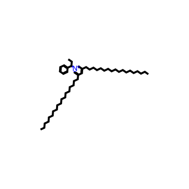 CCCCCCCCCCCCCCCCCCc1cc(CCCCCCCCCCCCCCCCCC)c[n+](C(CC)c2ccccc2)c1